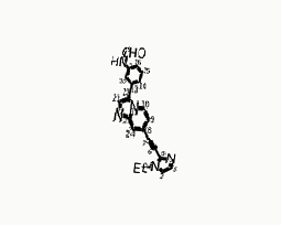 CCn1ccnc1C#Cc1ccn2c(-c3cccc(NC=O)c3)cnc2c1